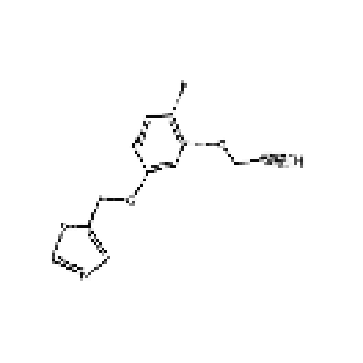 C#CCOc1cc(OCc2cncs2)ccc1F